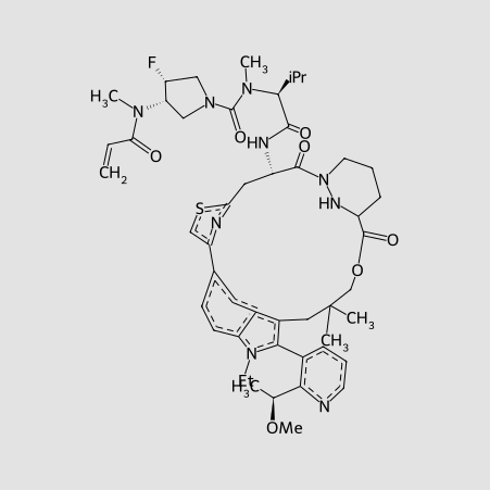 C=CC(=O)N(C)[C@H]1CN(C(=O)N(C)[C@H](C(=O)N[C@H]2Cc3nc(cs3)-c3ccc4c(c3)c(c(-c3cccnc3[C@H](C)OC)n4CC)CC(C)(C)COC(=O)C3CCCN(N3)C2=O)C(C)C)C[C@H]1F